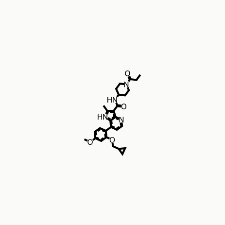 CCC(=O)N1CCC(NC(=O)c2c(C)[nH]c3c(-c4ccc(OC)cc4OCC4CC4)ccnc23)CC1